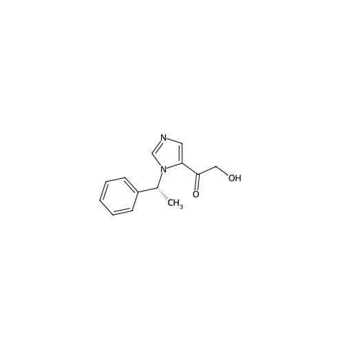 C[C@H](c1ccccc1)n1cncc1C(=O)CO